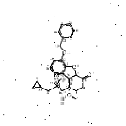 CO[C@@]12CCC(=O)C3Oc4c(OCc5ccccc5)ccc5c4[C@@]31CCN(CC1CC1)[C@@H]2C5